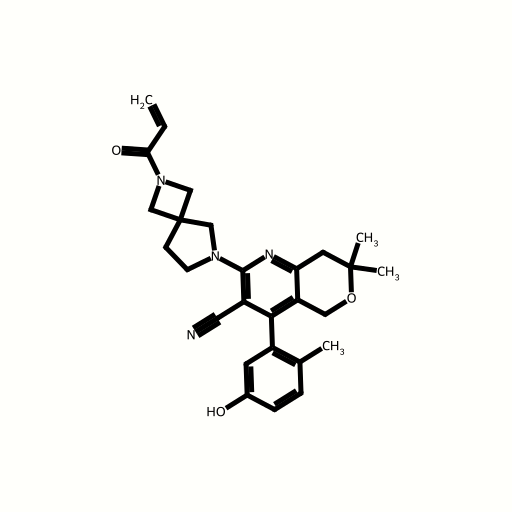 C=CC(=O)N1CC2(CCN(c3nc4c(c(-c5cc(O)ccc5C)c3C#N)COC(C)(C)C4)C2)C1